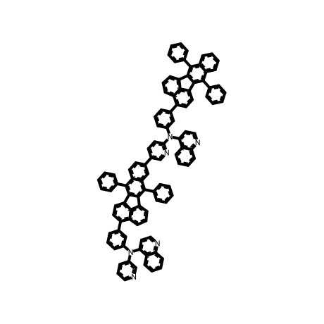 c1ccc(-c2c3c(c(-c4ccccc4)c4ccccc24)-c2ccc(-c4cccc(N(c5ccc(-c6ccc7c(-c8ccccc8)c8c(c(-c9ccccc9)c7c6)-c6cccc7c(-c9cccc(N(c%10cccnc%10)c%10ccnc%11ccccc%10%11)c9)ccc-8c67)cn5)c5ccnc6ccccc56)c4)c4cccc-3c24)cc1